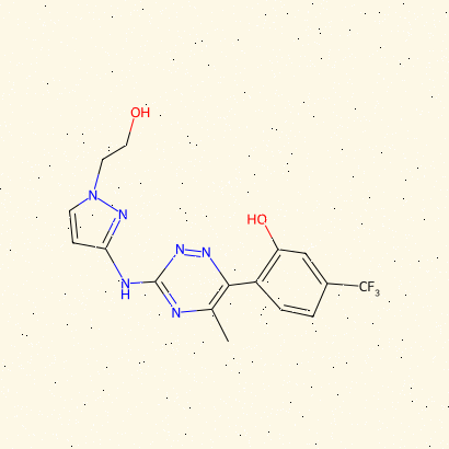 Cc1nc(Nc2ccn(CCO)n2)nnc1-c1ccc(C(F)(F)F)cc1O